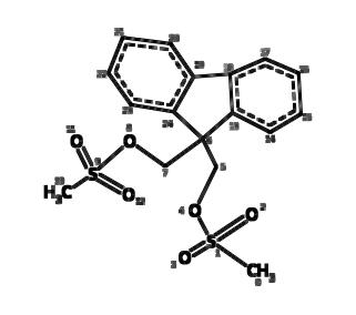 CS(=O)(=O)OCC1(COS(C)(=O)=O)c2ccccc2-c2ccccc21